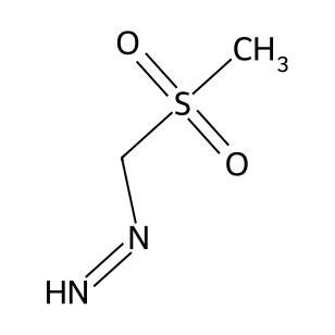 CS(=O)(=O)CN=N